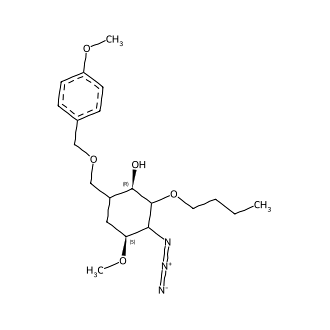 CCCCOC1C(N=[N+]=[N-])[C@@H](OC)CC(COCc2ccc(OC)cc2)[C@H]1O